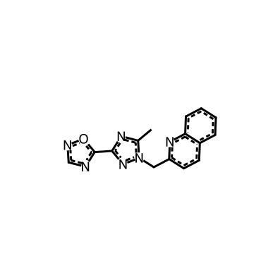 Cc1nc(-c2ncno2)nn1Cc1ccc2ccccc2n1